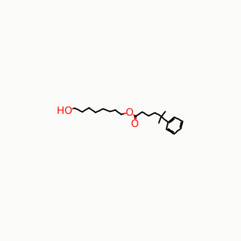 CC(C)(CCCC(=O)OCCCCCCCCO)c1ccccc1